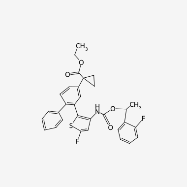 CCOC(=O)C1(c2ccc(-c3ccccc3)c(-c3sc(F)cc3NC(=O)OC(C)c3ccccc3F)c2)CC1